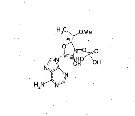 COC(C)[C@H]1O[C@@H](n2cnc3c(N)ncnc32)[C@H](O)[C@@H]1OP(=O)(O)O